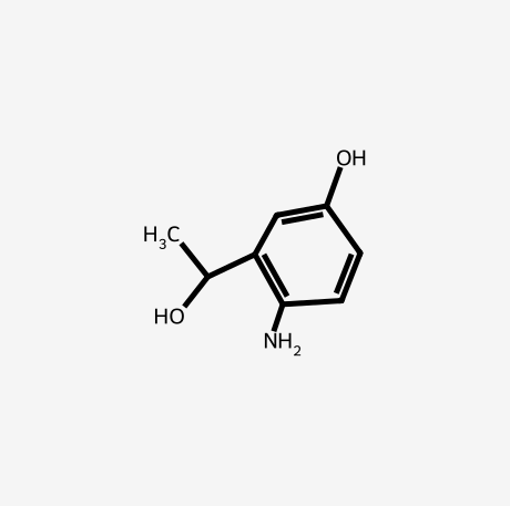 CC(O)c1cc(O)ccc1N